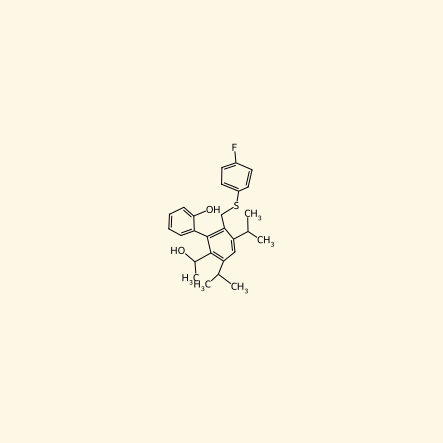 CC(C)c1cc(C(C)C)c(C(C)O)c(-c2ccccc2O)c1CSc1ccc(F)cc1